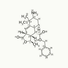 C[C@H]1OC(=O)[C@@H]2C=C3[C@@H](CCC(N)C3(C)C)[C@H](C(=O)OCc3ccccc3)[C@H]12